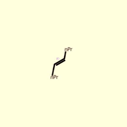 [CH2]CC/C=C/CCC